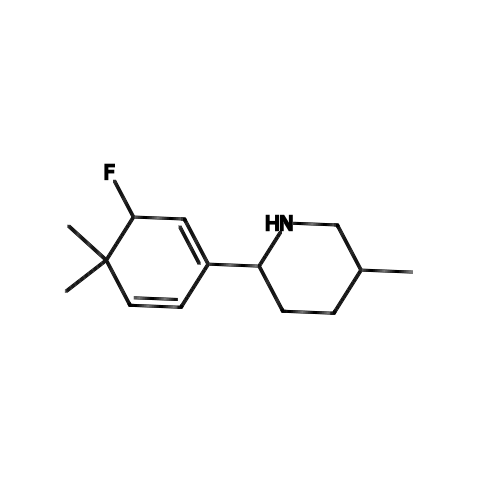 CC1CCC(C2=CC(F)C(C)(C)C=C2)NC1